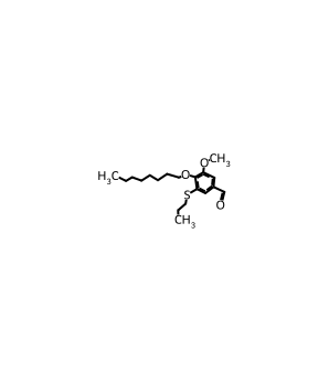 CCCCCCCCOc1c(OC)cc(C=O)cc1SCCC